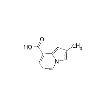 Cc1cc2c(C(=O)O)cccn2c1